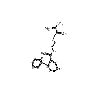 C=C(C)C(=O)OCCOC(=O)c1ccccc1-c1ccccc1